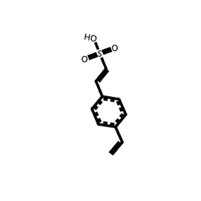 C=Cc1ccc(C=CS(=O)(=O)O)cc1